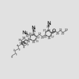 CCCCCC12CCC(c3ccc(CCc4ccc(OCCCC)c(C#N)c4)c(C#N)c3C#N)(CC1)CC2